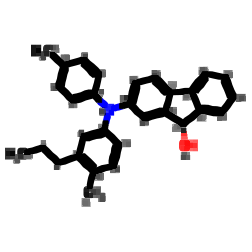 CCCc1cc(N(c2ccc(C)cc2)c2ccc3c(c2)[C@@H](O)c2ccccc2-3)ccc1C